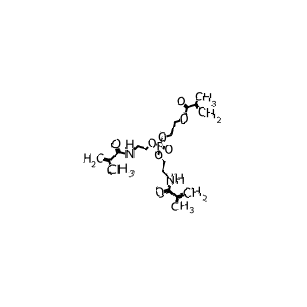 C=C(C)C(=O)NCCOP(=O)(OCCNC(=O)C(=C)C)OCCOC(=O)C(=C)C